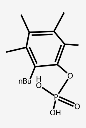 CCCCc1c(C)c(C)c(C)c(C)c1OP(=O)(O)O